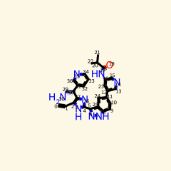 C#Cc1[nH]c(-c2n[nH]c3ccc(-c4cncc(NC(=O)C(C)C)c4)cc23)nc1/C(=C\N)c1cccnc1